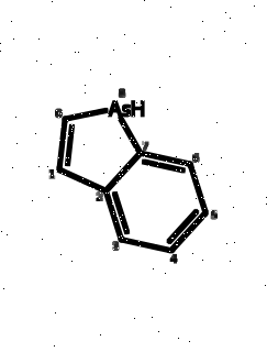 C1=Cc2ccccc2[AsH]1